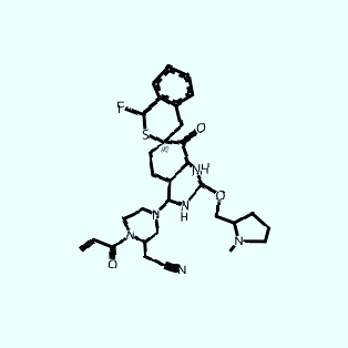 C=CC(=O)N1CCN(C2NC(OCC3CCCN3C)NC3C(=O)[C@@]4(CCC32)Cc2ccccc2C(F)S4)CC1CC#N